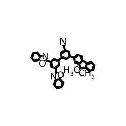 CC1(C)c2ccccc2-c2ccc(-c3cc(C#N)cc(-c4cc(-c5nc6ccccc6o5)cc(-c5nc6ccccc6o5)c4)c3)cc21